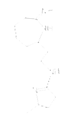 CC1CCC(NCCC2CCCCC(=N)N2)=N1